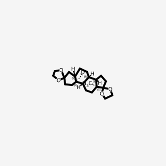 C[C@]12CC[C@H]3[C@@H](CC[C@H]4CC5(CC[C@@]43C=O)OCCO5)[C@@H]1CCC21OCCO1